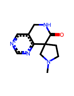 CN1CCC2(C1)C(=O)NCc1cncnc12